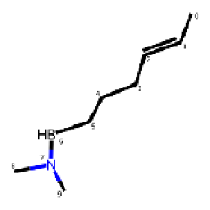 C/C=C/CCCBN(C)C